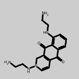 NCCNc1cccc2c1C(=O)C1=C(C=CN(NCCN)C1)C2=O